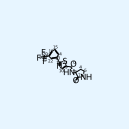 O=C(NC1CCNC1=O)c1cnc(-c2cccc(C(F)(F)F)c2)s1